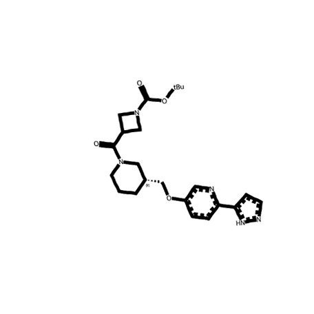 CC(C)(C)OC(=O)N1CC(C(=O)N2CCC[C@@H](COc3ccc(-c4ccn[nH]4)nc3)C2)C1